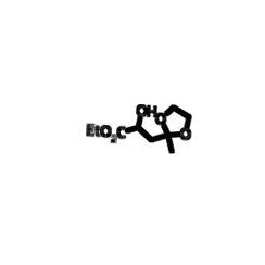 CCOC(=O)C(O)CC1(C)OCCO1